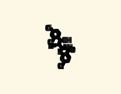 N#C/C(=C(/O)c1ccc(Cl)cc1Cl)c1nc2cc(Cl)ccc2c(=O)[nH]1